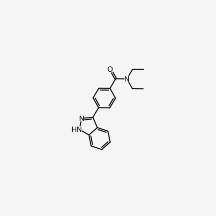 CCN(CC)C(=O)c1ccc(-c2n[nH]c3ccccc23)cc1